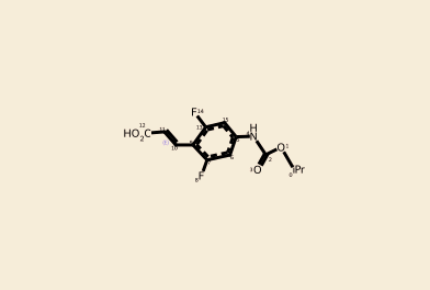 CC(C)OC(=O)Nc1cc(F)c(/C=C/C(=O)O)c(F)c1